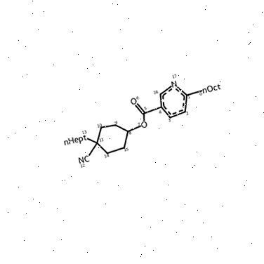 CCCCCCCCc1ccc(C(=O)OC2CCC(C#N)(CCCCCCC)CC2)cn1